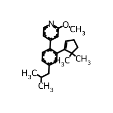 COc1cc(-c2ccc(CC(C)C)cc2C2=CCCC2(C)C)ccn1